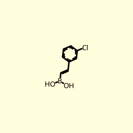 OB(O)/C=C/c1cccc(Cl)c1